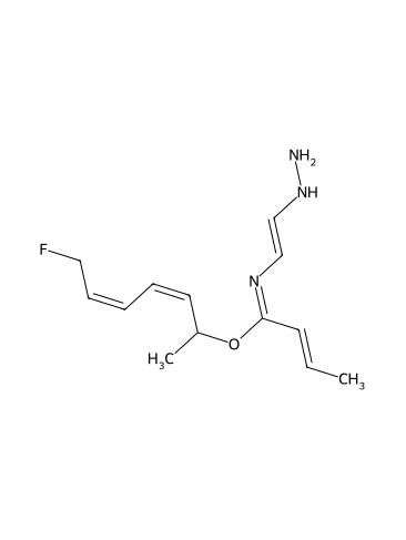 C/C=C/C(=N\C=C\NN)OC(C)/C=C\C=C/CF